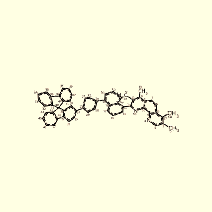 Cc1cnc2c(ccc3c(C)c(C)c(-c4cccc5c(-c6ccc(-c7ccc8c(c7)C7(c9ccccc9-c9ccccc97)c7ccccc7-8)cc6)cccc45)nc32)c1C